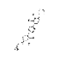 C#CCOc1ccc(-c2ccc(-c3ccc(C4CCCCC4)c(F)c3F)cc2)c(F)c1F